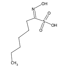 CCCCCCC(=NO)S(=O)(=O)O